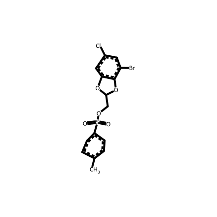 Cc1ccc(S(=O)(=O)OCC2Oc3cc(Cl)cc(Br)c3O2)cc1